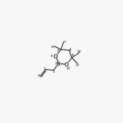 C=CCB1OC(C)(C)CC(C)(C)O1